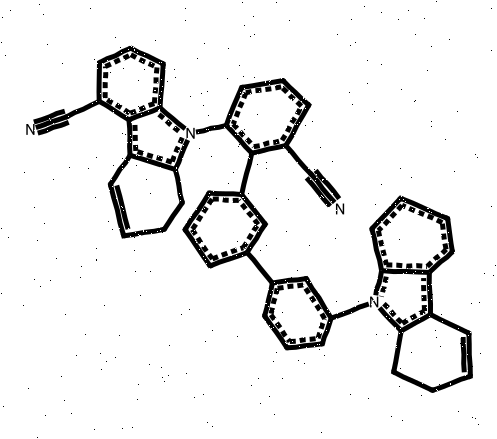 N#Cc1cccc(-n2c3c(c4c(C#N)cccc42)C=CCC3)c1-c1cccc(-c2cccc(-n3c4c(c5ccccc53)C=CCC4)c2)c1